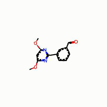 COc1cc(OC)nc(-c2cccc(C=O)c2)n1